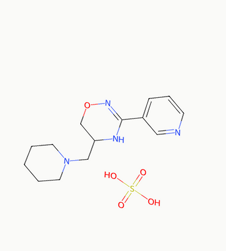 O=S(=O)(O)O.c1cncc(C2=NOCC(CN3CCCCC3)N2)c1